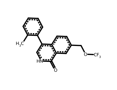 Cc1ccccc1-c1c[nH]c(=O)c2cc(COC(F)(F)F)ccc12